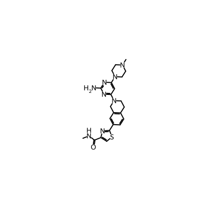 CNC(=O)c1csc(-c2ccc3c(c2)CN(c2cc(N4CCN(C)CC4)nc(N)n2)CC3)n1